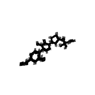 CSc1ccn(-c2ccc(N3CC[C@@H](O[Si](C)(C)C(C)(C)C)C3)[nH]c2=O)c(=O)c1